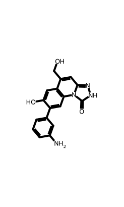 Nc1cccc(-c2cc3c(cc2O)c(CO)cc2n[nH]c(=O)n23)c1